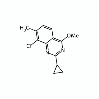 COc1nc(C2CC2)nc2c(Cl)c(C)ccc12